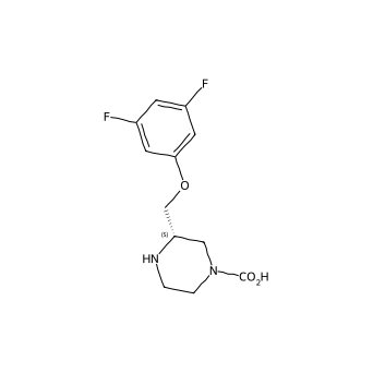 O=C(O)N1CCN[C@H](COc2cc(F)cc(F)c2)C1